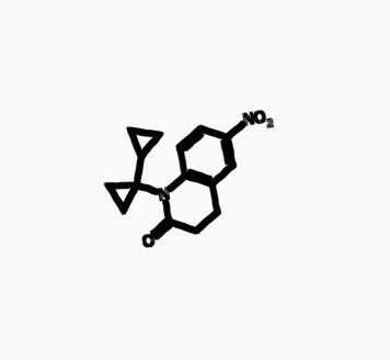 O=C1CCc2cc([N+](=O)[O-])ccc2N1C1(C2CC2)CC1